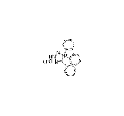 Cl.[Cl-].c1ccc(C2=NN=N[N+]2(c2ccccc2)c2ccccc2)cc1